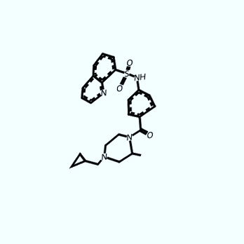 CC1CN(CC2CC2)CCN1C(=O)c1ccc(NS(=O)(=O)c2cccc3cccnc23)cc1